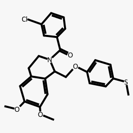 COc1cc2c(cc1OC)C(COc1ccc(SC)cc1)N(C(=O)c1cccc(Cl)c1)CC2